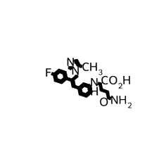 Cc1cncn1CC(=Cc1cccc(N[C@@H](CCC(N)=O)C(=O)O)c1)c1ccc(F)cc1